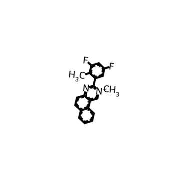 Cc1c(F)cc(F)cc1-c1nc2ccc3ccccc3c2c[n+]1C